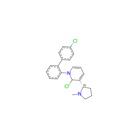 CN1CCC[C@H]1C1=CC=CN(c2ccccc2-c2ccc(Cl)cc2)C1Cl